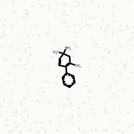 CC1=C(c2ccccc2)C=CC(C)(N)C1